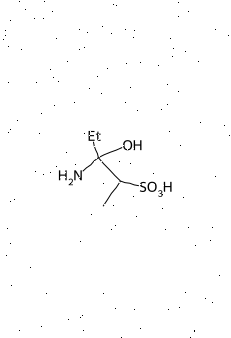 CCC(N)(O)C(C)S(=O)(=O)O